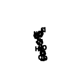 O=C(Nc1ccc2c(c1)OCCO2)N1CCN(c2ccnc3cc(Cl)ccc23)CC1